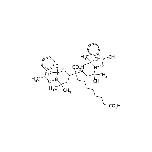 CC(ON1C(C)(C)CC(C(CCCCCCCC(=O)O)(C(=O)O)C2CC(C)(C)N(OC(C)c3ccccc3)C(C)(C)C2)CC1(C)C)c1ccccc1